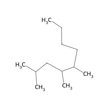 CCCCC(C)C(C)CC(C)C